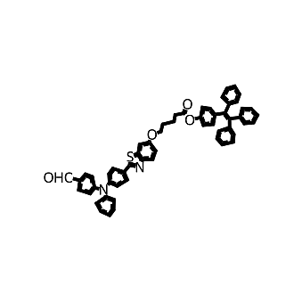 O=Cc1ccc(N(c2ccccc2)c2ccc(-c3nc4ccc(OCCCCC(=O)Oc5ccc(C(=C(c6ccccc6)c6ccccc6)c6ccccc6)cc5)cc4s3)cc2)cc1